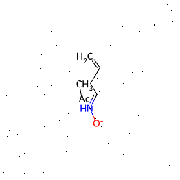 C=CCC=[NH+][O-].CC(C)=O